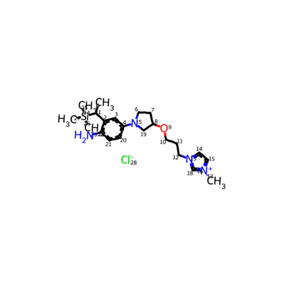 CC(c1cc(N2CCC(OCCCn3cc[n+](C)c3)C2)ccc1N)[Si](C)(C)C.[Cl-]